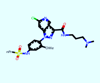 CCCS(=O)(=O)Nc1ccc(-n2nc(C(=O)NCCCN(C)C)c3cnc(Cl)cc32)c(OC)c1